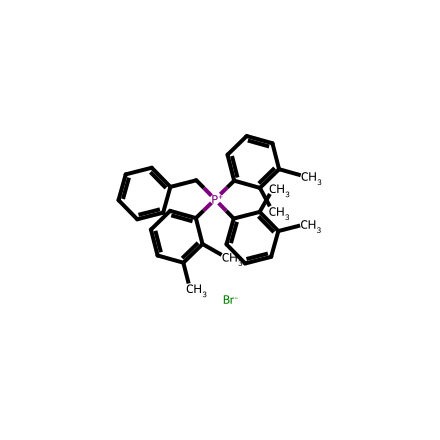 Cc1cccc([P+](Cc2ccccc2)(c2cccc(C)c2C)c2cccc(C)c2C)c1C.[Br-]